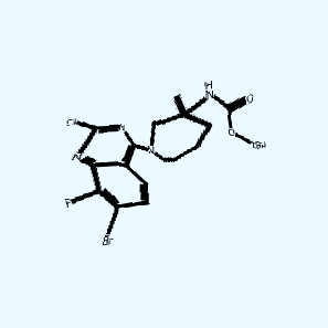 CC1(NC(=O)OC(C)(C)C)CCCN(c2nc(Cl)nc3c(F)c(Br)ccc23)C1